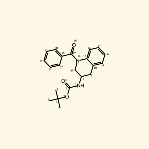 CC(C)(C)OC(=O)NC1Cc2ccccc2N(C(=O)c2ccccc2)C1